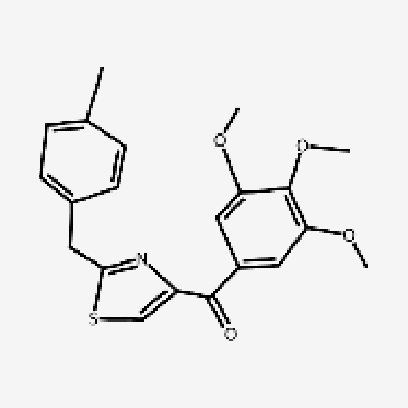 COc1cc(C(=O)c2csc(Cc3ccc(C)cc3)n2)cc(OC)c1OC